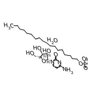 CCCCCCCCCCCCCCCCCCOP(=O)(O)O.Nc1ccn([C@@H]2O[C@H](CO)[C@@H](O)[C@@H]2O)c(=O)n1.O